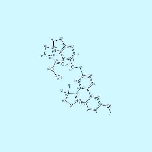 COc1ccc(F)c(-c2ccc(COc3ccc4c(c3)[C@@]3(CC4)CC[C@H]3C(=O)ON)cc2C2=CCCC2(C)C)c1